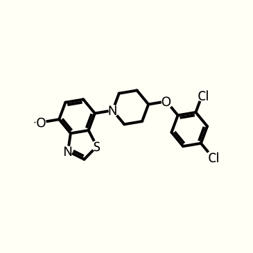 [O]c1ccc(N2CCC(Oc3ccc(Cl)cc3Cl)CC2)c2scnc12